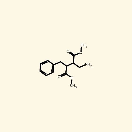 COC(=O)C(CN)C(Cc1ccccc1)C(=O)OC